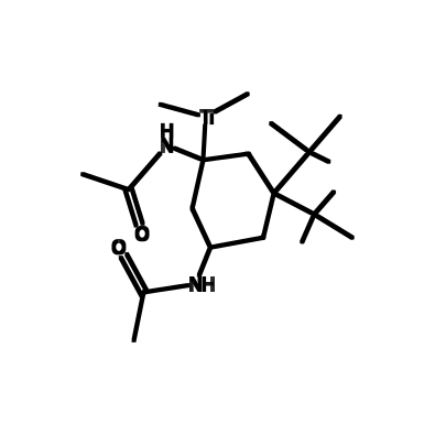 CC(=O)NC1C[C](NC(C)=O)([Ti]([CH3])[CH3])CC(C(C)(C)C)(C(C)(C)C)C1